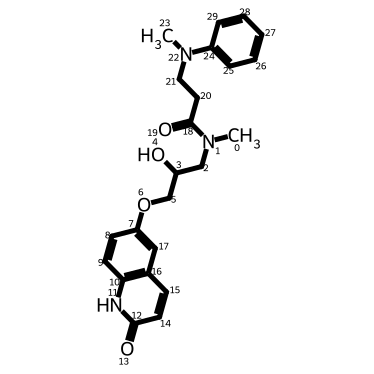 CN(CC(O)COc1ccc2[nH]c(=O)ccc2c1)C(=O)CCN(C)c1ccccc1